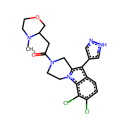 CN1CCOCC1CC(=O)N1CCn2c(c(-c3cn[nH]c3)c3ccc(Cl)c(Cl)c32)C1